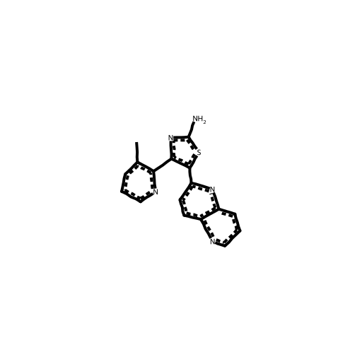 Cc1cccnc1-c1nc(N)sc1-c1ccc2ncccc2n1